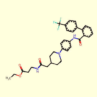 CCOC(=O)CCNC(=O)CC1CCN(c2ccc(NC(=O)c3ccccc3-c3ccc(C(F)(F)F)cc3)cc2)CC1